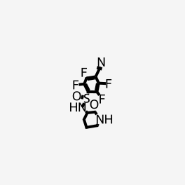 N#Cc1c(F)c(F)c(S(=O)(=O)NC2CCCNC2)c(F)c1F